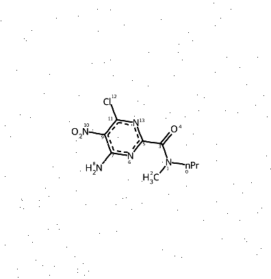 CCCN(C)C(=O)c1nc(N)c([N+](=O)[O-])c(Cl)n1